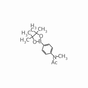 CC(=O)N(C)c1ccc(B2OC(C)(C)C(C)(C)O2)cc1